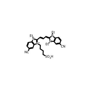 CCN1/C(=C/C=C/c2n(CC)c3ccc(C#N)cc3[n+]2CCCCS(=O)(=O)O)N(CC)c2cc(C#N)ccc21